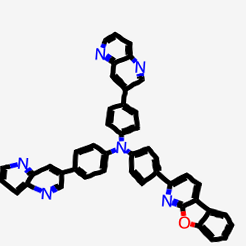 c1cnc2cc(-c3ccc(N(c4ccc(-c5cnc6cccnc6c5)cc4)c4ccc(-c5ccc6c(n5)oc5ccccc56)cc4)cc3)cnc2c1